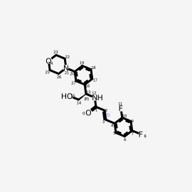 O=C(/C=C/c1ccc(F)cc1F)N[C@@H](CO)c1cccc(N2CCOCC2)c1